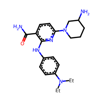 CCN(CC)c1ccc(Nc2nc(N3CCCC(N)C3)ccc2C(N)=O)cc1